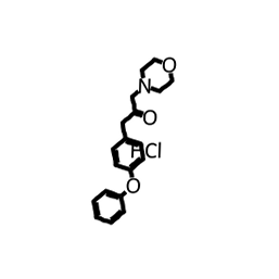 Cl.O=C(Cc1ccc(Oc2ccccc2)cc1)CN1CCOCC1